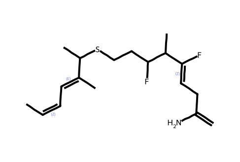 C=C(N)C/C=C(\F)C(C)C(F)CCSC(C)/C(C)=C/C=C\C